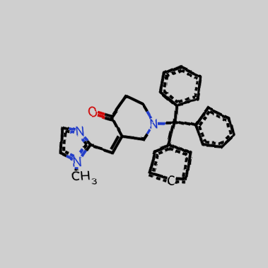 Cn1ccnc1/C=C1/CN(C(c2ccccc2)(c2ccccc2)c2ccccc2)CCC1=O